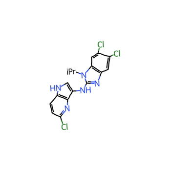 CC(C)n1c(Nc2c[nH]c3ccc(Cl)nc23)nc2cc(Cl)c(Cl)cc21